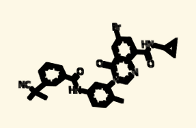 Cc1ccc(NC(=O)c2cccc(C(C)(C)C#N)c2)cc1-n1cnc2c(C(=O)NC3CC3)cc(Br)cc2c1=O